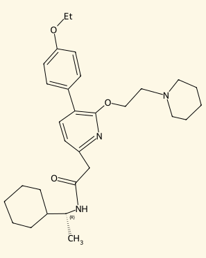 CCOc1ccc(-c2ccc(CC(=O)N[C@H](C)C3CCCCC3)nc2OCCN2CCCCC2)cc1